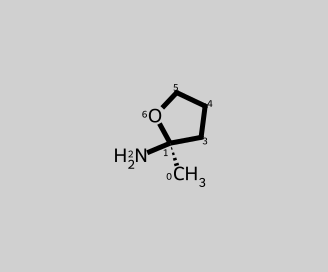 C[C@@]1(N)CCCO1